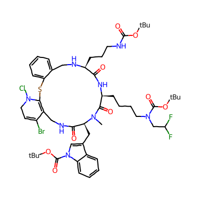 CN1C(=O)[C@H](CCCCN(CC(F)F)C(=O)OC(C)(C)C)NC(=O)[C@H](CCCNC(=O)OC(C)(C)C)NCc2ccccc2SC2=C(CNC(=O)[C@@H]1Cc1cn(C(=O)OC(C)(C)C)c3ccccc13)C(Br)=CCN2Cl